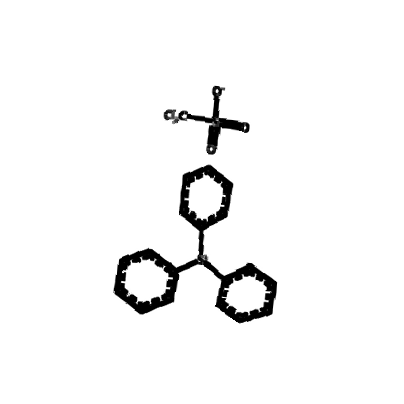 O=S(=O)([O-])C(Cl)(Cl)Cl.c1ccc([S+](c2ccccc2)c2ccccc2)cc1